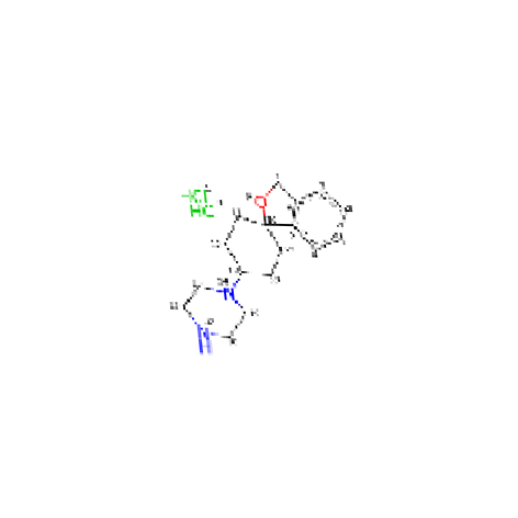 Cl.Cl.c1ccc2c(c1)COC21CCC(N2CCNCC2)CC1